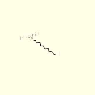 CCCCCCCCCCCON(C)C